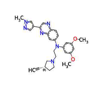 C#C[C@H]1CCN(CCN(c2cc(OC)cc(OC)c2)c2ccc3ncc(-c4cnn(C)c4)nc3c2)C1